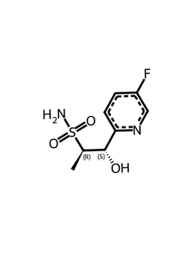 C[C@H]([C@@H](O)c1ccc(F)cn1)S(N)(=O)=O